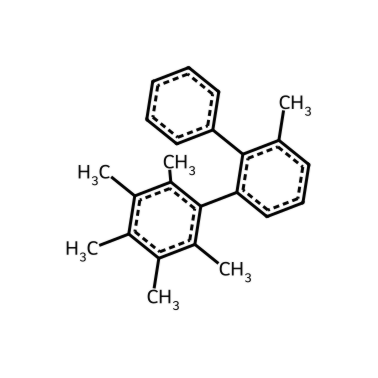 Cc1cccc(-c2c(C)c(C)c(C)c(C)c2C)c1-c1ccccc1